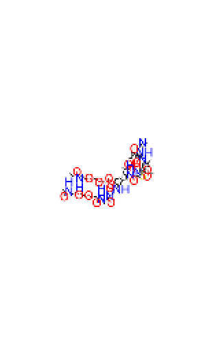 C=CC(=O)NCCOCCOCCC(=O)Oc1ccc(C[C@@H](CC(C)C(=O)O)NC(=O)c2csc([C@@H](C[C@H](C(C)C)N(C)C(=O)[C@@H](NC(=O)C(C)(C)N(C)C)[C@@H](C)CC)OC(C)=O)n2)cc1NC(=O)CNC(=O)C(C)NC(=O)CCOCCOCCNC(C)=O